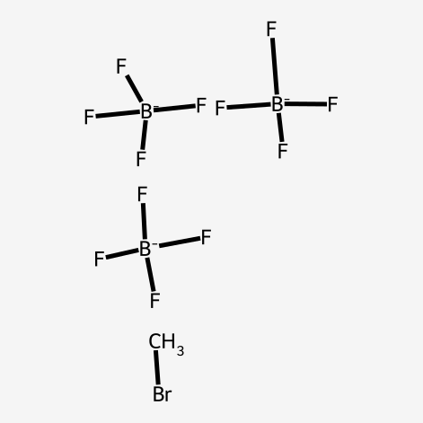 CBr.F[B-](F)(F)F.F[B-](F)(F)F.F[B-](F)(F)F